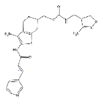 CC1=NOCC1CNC(=O)OCC1CCc2c(sc(NC(=O)/C=C/c3cccnc3)c2N)C1